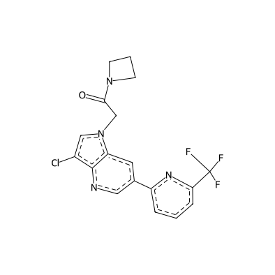 O=C(Cn1cc(Cl)c2ncc(-c3cccc(C(F)(F)F)n3)cc21)N1CCC1